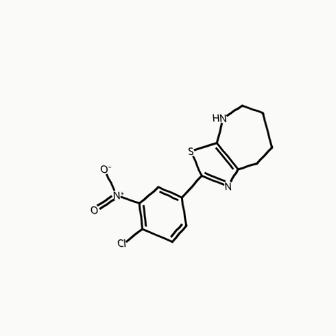 O=[N+]([O-])c1cc(-c2nc3c(s2)NCCCC3)ccc1Cl